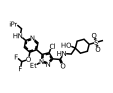 CCn1nc(C(=O)NCC2(O)CCC(S(C)(=O)=O)CC2)c(Cl)c1-c1cnc(NCC(C)C)cc1OC(F)F